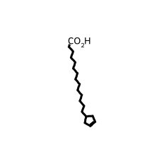 O=C(O)CCCCCCCCCCCCCC1CC=CC1